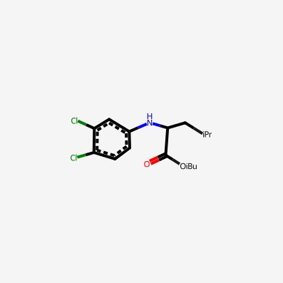 CC(C)COC(=O)C(CC(C)C)Nc1ccc(Cl)c(Cl)c1